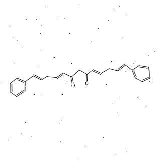 O=C(/C=C/C/C=C/c1ccccc1)CC(=O)/C=C/C/C=C/c1ccccc1